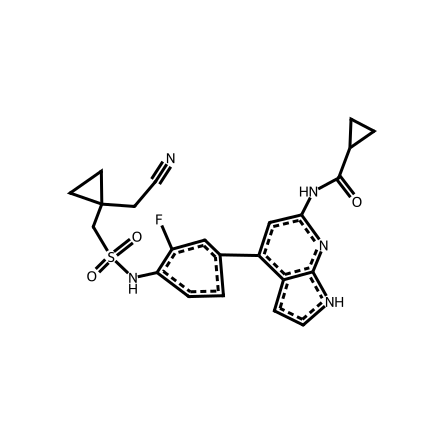 N#CCC1(CS(=O)(=O)Nc2ccc(-c3cc(NC(=O)C4CC4)nc4[nH]ccc34)cc2F)CC1